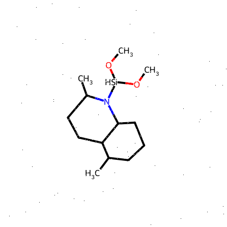 CO[SiH](OC)N1C(C)CCC2C(C)CCCC21